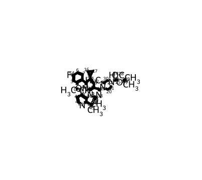 COc1cc(F)ccc1-c1nc2c(cc1C1CC1)c(N1CCN(C(=O)OC(C)(C)C)C[C@@H]1C)nc(=O)n2-c1c(C)ccnc1C(C)C